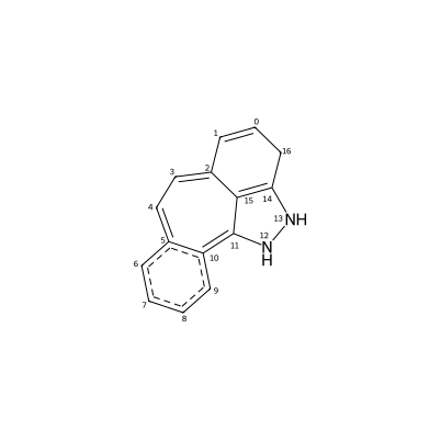 C1=CC2=CC=c3ccccc3=C3NNC(=C23)C1